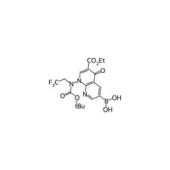 CCOC(=O)c1cn(N(CC(F)(F)F)C(=O)OC(C)(C)C)c2ncc(B(O)O)cc2c1=O